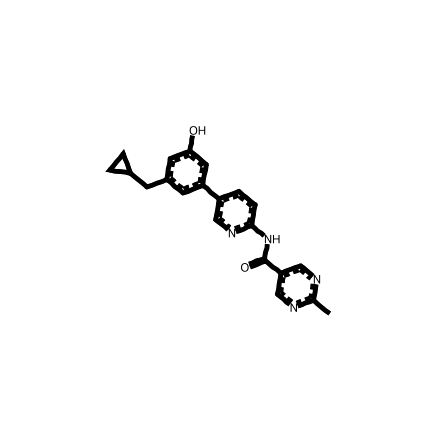 Cc1ncc(C(=O)Nc2ccc(-c3cc(O)cc(CC4CC4)c3)cn2)cn1